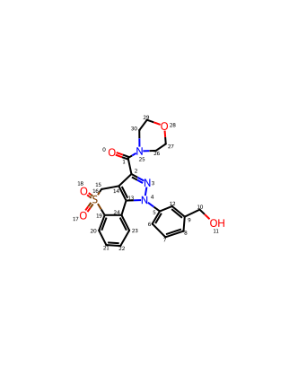 O=C(c1nn(-c2cccc(CO)c2)c2c1CS(=O)(=O)c1ccccc1-2)N1CCOCC1